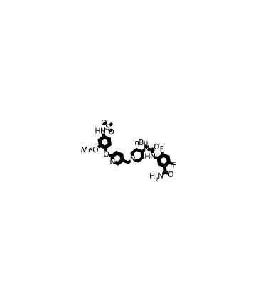 CCCCN(C(=O)Nc1cc(C(N)=O)c(F)cc1F)C1CCN(Cc2ccc(Oc3ccc(NS(C)(=O)=O)cc3OC)nc2)CC1